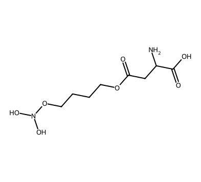 NC(CC(=O)OCCCCON(O)O)C(=O)O